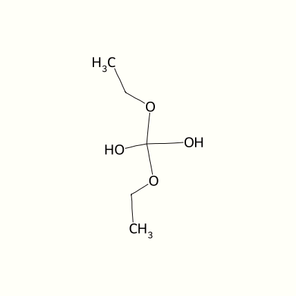 CCOC(O)(O)OCC